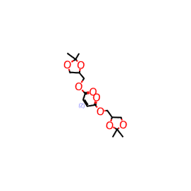 CC1(C)OCC(COC(=O)/C=C\C(=O)OCC2COC(C)(C)O2)O1